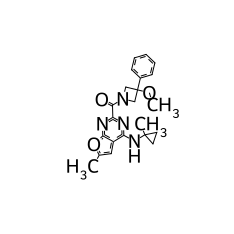 COC1(c2ccccc2)CN(C(=O)c2nc(NC3(C)CC3)c3cc(C)oc3n2)C1